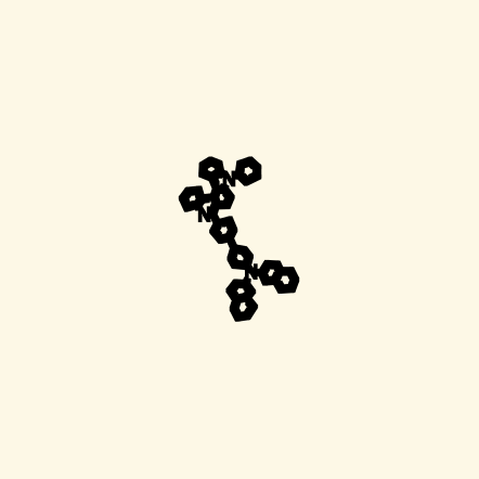 c1ccc(-n2c3ccccc3c3c4c(ccc32)c(-c2ccc(-c3ccc(N(c5ccc6ccccc6c5)c5ccc6ccccc6c5)cc3)cc2)nc2ccccc24)cc1